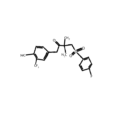 CC(C)(CS(=O)(=O)c1ccc(F)cc1)C(=O)Cc1ccc(C#N)c(C(F)(F)F)c1